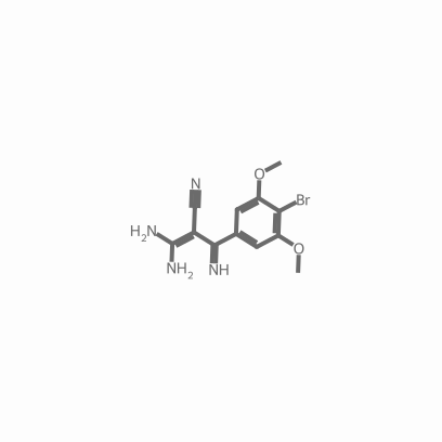 COc1cc(C(=N)C(C#N)=C(N)N)cc(OC)c1Br